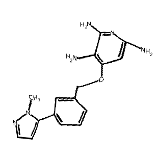 Cn1nccc1-c1cccc(COc2cc(N)nc(N)c2N)c1